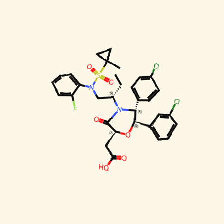 CC[C@@H](CN(c1ccccc1F)S(=O)(=O)C1(C)CC1)N1C(=O)[C@H](CC(=O)O)O[C@H](c2cccc(Cl)c2)[C@H]1c1ccc(Cl)cc1